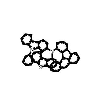 c1ccc(-n2c3ccccc3c3ccc(N(c4cccc5c4-c4c6ccccc6cc6cccc-5c46)c4cccc5sc6ccccc6c45)cc32)cc1